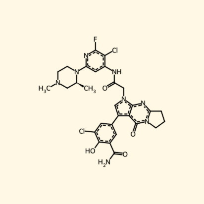 C[C@H]1CN(C)CCN1c1cc(NC(=O)Cn2cc(-c3cc(Cl)c(O)c(C(N)=O)c3)c3c(=O)n4c(nc32)CCC4)c(Cl)c(F)n1